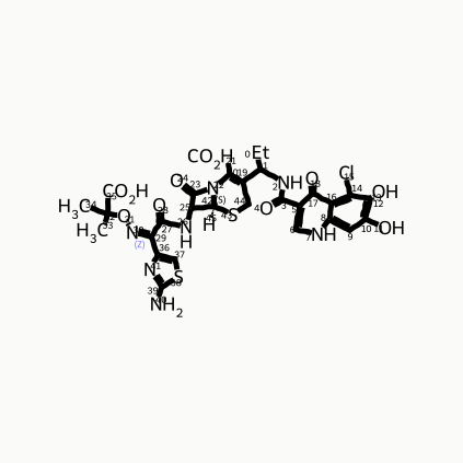 CCC(NC(=O)c1c[nH]c2cc(O)c(O)c(Cl)c2c1=O)C1=C(C(=O)O)N2C(=O)C(NC(=O)/C(=N\OC(C)(C)C(=O)O)c3csc(N)n3)[C@@H]2SC1